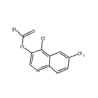 CCC(=O)Oc1cnc2ccc(C(F)(F)F)cc2c1Cl